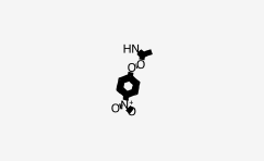 CC(=N)OOc1ccc([N+](=O)[O-])cc1